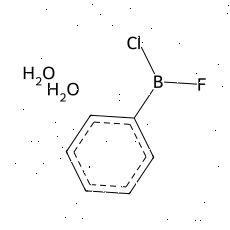 FB(Cl)c1ccccc1.O.O